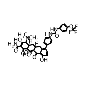 CN(C)C1C(O)=C(C(N)=O)C(=O)[C@]2(O)C(O)=C3C(=O)c4c(O)ccc(-c5ccc(NC(=O)Nc6ccc(OC(F)(F)F)cc6)cc5)c4C[C@@H]3C[C@H]12